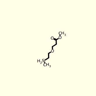 COC(=O)CCOCC[SiH2]C